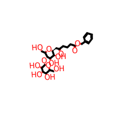 O=C(CCCC(=O)OCc1ccccc1)C[C@@H]1OC(CO)[C@@H](O[C@@H]2OC(CO)[C@H](O)C(O)C2O)C(O)[C@@H]1O